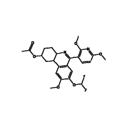 COc1ccc(C2=NC3CCC(OC(C)=O)CC3c3cc(OC)c(OC(F)F)cc32)c(OC)n1